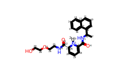 [2H]N1C(C(=O)NC(C)c2cccc3ccccc23)=CC=C[C@@H]1C(=O)NCCOCCO